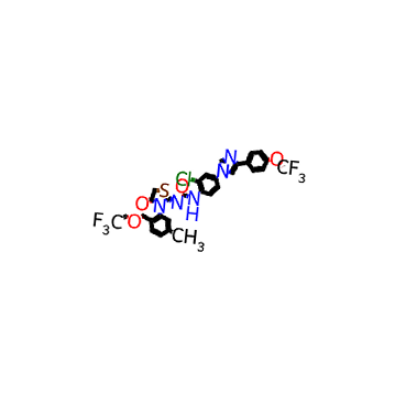 Cc1ccc(COCC(F)(F)F)c(N2C(=O)CS/C2=N\C(=O)Nc2ccc(-n3cnc(-c4ccc(OC(F)(F)F)cc4)c3)cc2Cl)c1